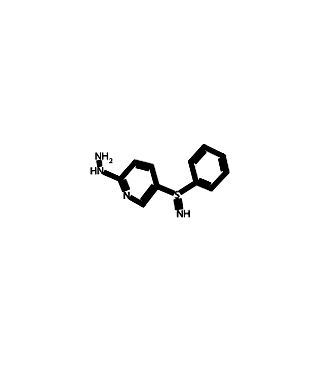 N=S(c1ccccc1)c1ccc(NN)nc1